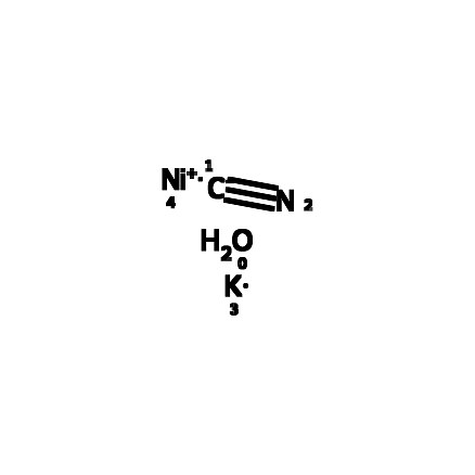 O.[C-]#N.[K].[Ni+]